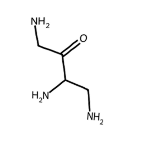 NCC(=O)C(N)CN